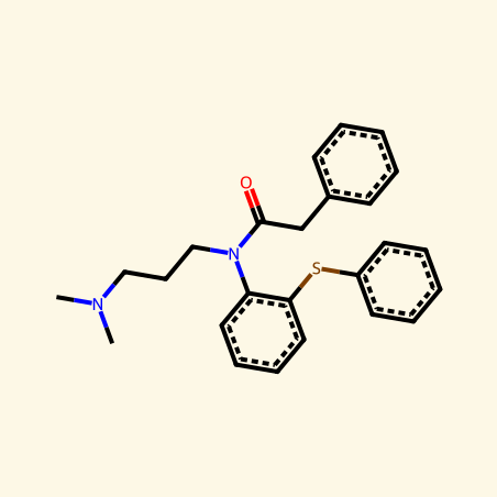 CN(C)CCCN(C(=O)Cc1ccccc1)c1ccccc1Sc1ccccc1